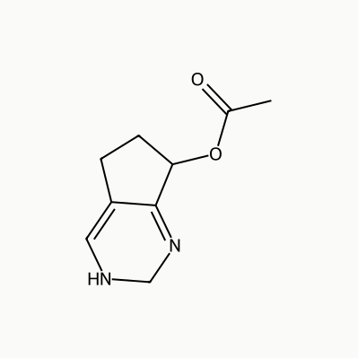 CC(=O)OC1CCC2=CNCN=C21